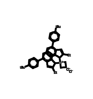 CCC1=Cc2c(-c3ccc(C(C)(C)C)cc3)cccc2[CH]1[Ti+2]1([CH]2C(CC)=Cc3c(-c4ccc(C(C)(C)C)cc4)cccc32)[CH2]C[CH2]1.[Cl-].[Cl-]